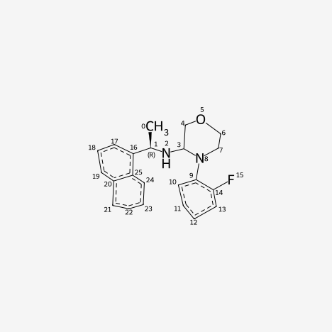 C[C@@H](NC1COCCN1c1ccccc1F)c1cccc2ccccc12